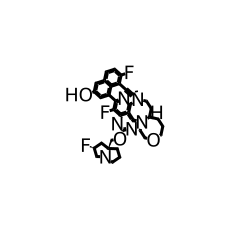 C#Cc1c(F)ccc2cc(O)cc(-c3nc4c5c(nc(OC[C@@]67CCCN6C[C@H](F)C7)nc5c3F)N3CCOCCC[C@@H]3CCN4C)c12